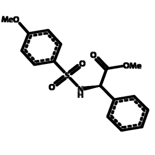 COC(=O)[C@H](NS(=O)(=O)c1ccc(OC)cc1)c1ccccc1